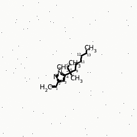 C=Cc1cc(C(C)(CC)CCCCCC)n(C)n1